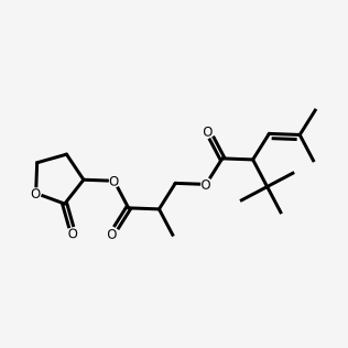 CC(C)=CC(C(=O)OCC(C)C(=O)OC1CCOC1=O)C(C)(C)C